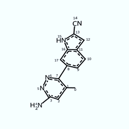 Cc1cc(N)nnc1-c1ccc2cc(C#N)[nH]c2c1